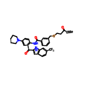 COC(=O)CCSCc1cccc(C(=O)Nc2ccc(N3CCCCC3)cc2C(=O)c2cc3ccc(C(F)(F)F)cc3[nH]2)c1